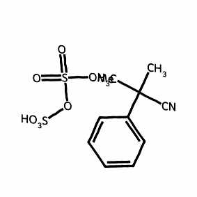 CC(C)(C#N)c1ccccc1.COS(=O)(=O)OS(=O)(=O)O